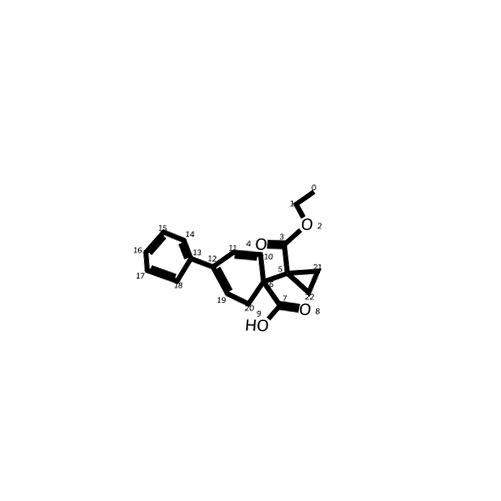 CCOC(=O)C1(C2(C(=O)O)C=CC(c3ccccc3)=CC2)CC1